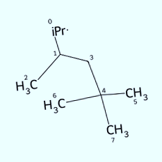 C[C](C)C(C)CC(C)(C)C